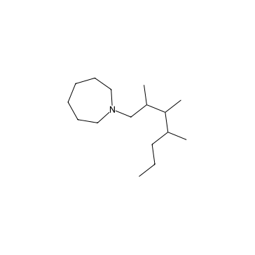 CCCC(C)C(C)C(C)CN1CCCCCC1